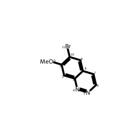 COc1cc2nnccc2cc1Br